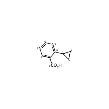 O=C(O)c1cncnc1C1CC1